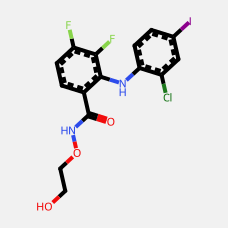 O=C(NOCCO)c1ccc(F)c(F)c1Nc1ccc(I)cc1Cl